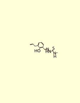 C=CCc1cccc(/C=N/NC(=S)NC)c1O